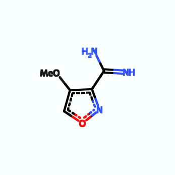 COc1conc1C(=N)N